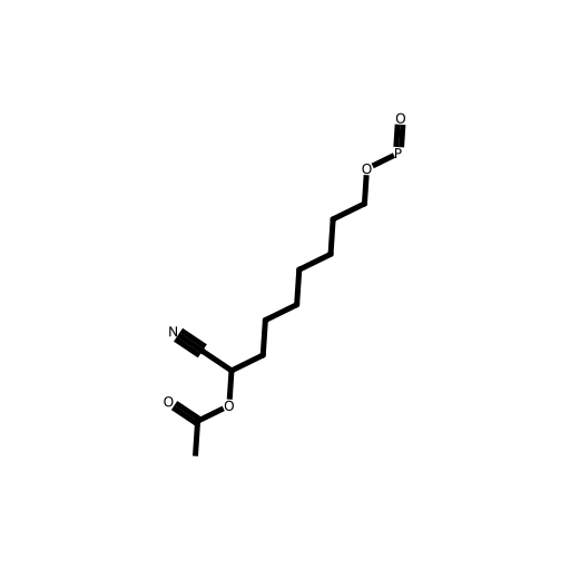 CC(=O)OC(C#N)CCCCCCCOP=O